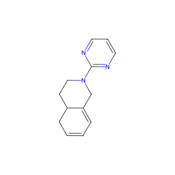 C1=CCC2CCN(c3ncccn3)CC2=C1